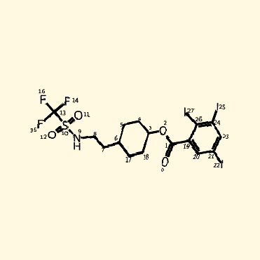 O=C(OC1CCC(CCNS(=O)(=O)C(F)(F)F)CC1)c1cc(I)cc(I)c1I